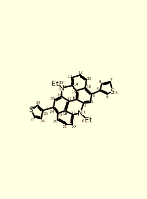 CCn1c2cc(-c3ccsc3)c3cccc4c3c2-c2c3c(cccc31)c(-c1ccsc1)cc2n4CC